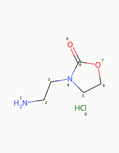 Cl.NCCN1CCOC1=O